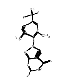 CC(=O)c1nc2nn(-c3c(C)cc(C(C)(F)F)cc3C)cc2c(=O)[nH]1